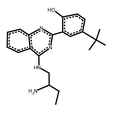 CCC(N)CNc1nc(-c2cc(C(C)(C)C)ccc2O)nc2ccccc12